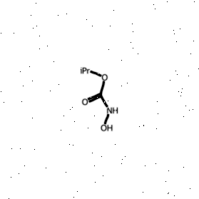 CC(C)OC(=O)NO